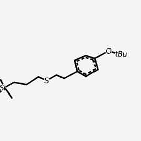 CC(C)(C)Oc1ccc(CCSCCC[Si](C)(C)C)cc1